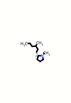 CCCC(C)CC[C@H]1CCCN1C